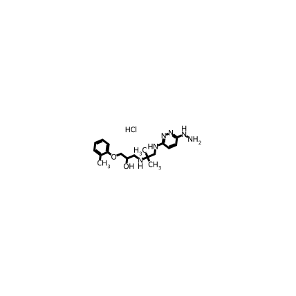 Cc1ccccc1OCC(O)CNC(C)(C)CNc1ccc(NN)nn1.Cl